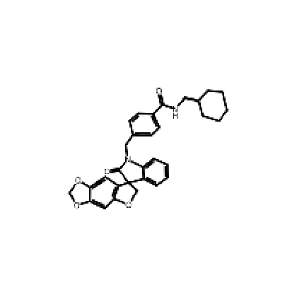 O=C(NCC1CCCCC1)c1ccc(CN2C(=O)C3(COc4cc5c(cc43)OCO5)c3ccccc32)cc1